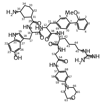 COc1ccccc1-c1ccc(CC(NC(=O)C(Cc2c[nH]c3ccc(O)cc23)NC(=O)C2CCCC(N)C2)C(=O)NC(CCCCNC(=N)N)C(=O)NCC(=O)Nc2ccc(N3CCOCC3)cc2)cc1